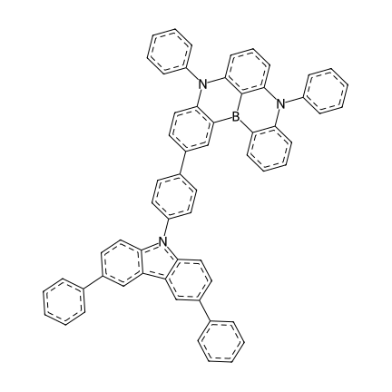 c1ccc(-c2ccc3c(c2)c2cc(-c4ccccc4)ccc2n3-c2ccc(-c3ccc4c(c3)B3c5ccccc5N(c5ccccc5)c5cccc(c53)N4c3ccccc3)cc2)cc1